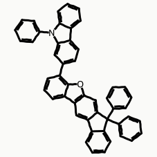 c1ccc(-n2c3ccccc3c3ccc(-c4cccc5c4oc4cc6c(cc45)-c4ccccc4C6(c4ccccc4)c4ccccc4)cc32)cc1